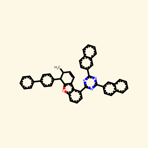 CC1C=Cc2c(oc3cccc(-c4nc(-c5ccc6ccccc6c5)nc(-c5ccc6ccccc6c5)n4)c23)C1c1ccc(-c2ccccc2)cc1